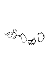 CC(C)(C)OC(=O)N1CCC(c2nc(C3CCOCC3)c[nH]2)CC1